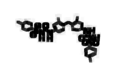 Cc1ccc(S(=O)(=O)NC(=O)Nc2ccc(Cc3ccc(NC(=O)NS(=O)(=O)c4ccc(C)cc4)cc3C)c(C)c2)cc1